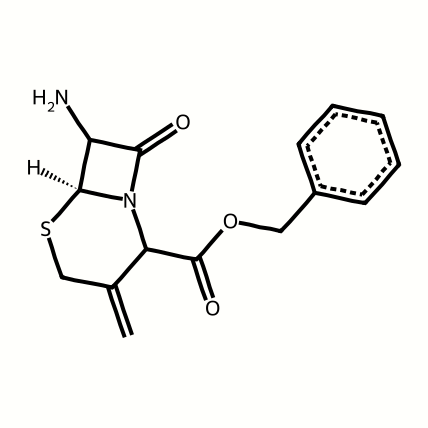 C=C1CS[C@H]2C(N)C(=O)N2C1C(=O)OCc1ccccc1